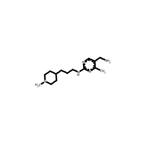 Cc1nc(NCCCC2CCN(C)CC2)ncc1CN